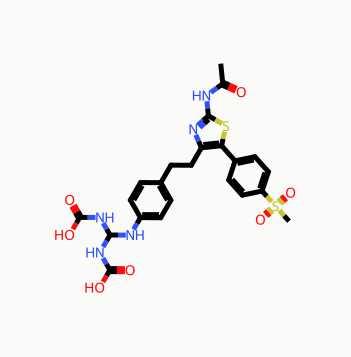 CC(=O)Nc1nc(CCc2ccc(NC(NC(=O)O)NC(=O)O)cc2)c(-c2ccc(S(C)(=O)=O)cc2)s1